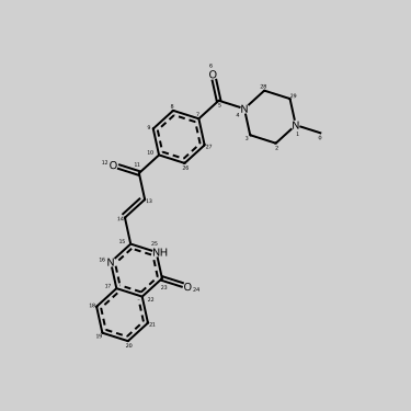 CN1CCN(C(=O)c2ccc(C(=O)C=Cc3nc4ccccc4c(=O)[nH]3)cc2)CC1